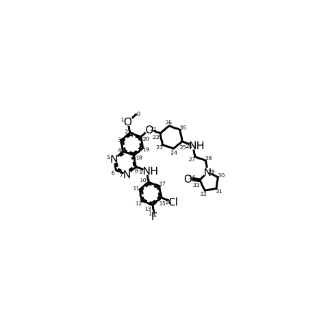 COc1cc2ncnc(Nc3ccc(F)c(Cl)c3)c2cc1OC1CCC(NCCN2CCCC2=O)CC1